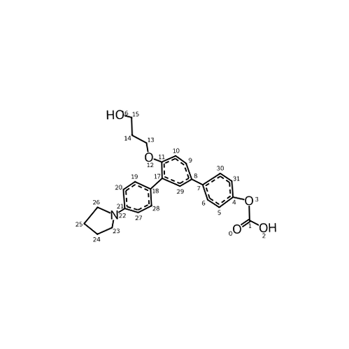 O=C(O)Oc1ccc(-c2ccc(OCCCO)c(-c3ccc(N4CCCC4)cc3)c2)cc1